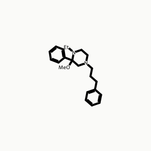 CCN1CCN(CCCc2ccccc2)CC1(OC)c1ccccc1